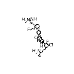 N=C(N)SCC[C@@H]1CCC[C@@H](c2ccc(-n3cc4cc(-c5cc(CCCC(N)C6CC6)cc(Cl)c5F)[nH]c4nc3=O)cc2)N1CCCF